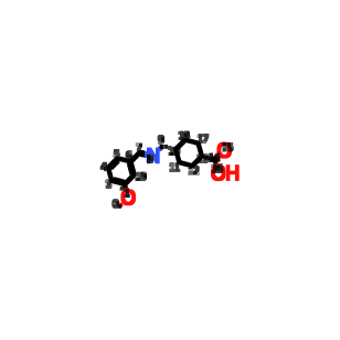 COc1cccc(C=NC[C@H]2CC[C@H](C(=O)O)CC2)c1